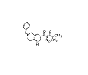 C=C(C)C(=O)N(N=O)C(=O)C1=CNC2CCN(Cc3ccccc3)CC2=C1